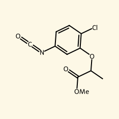 COC(=O)C(C)Oc1cc(N=C=O)ccc1Cl